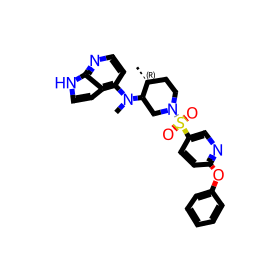 C[C@@H]1CCN(S(=O)(=O)c2ccc(Oc3ccccc3)nc2)CC1N(C)c1ccnc2[nH]ccc12